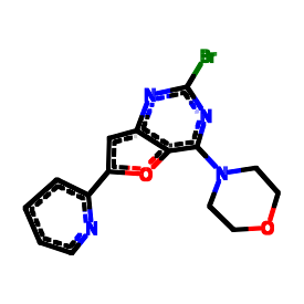 Brc1nc(N2CCOCC2)c2oc(-c3ccccn3)cc2n1